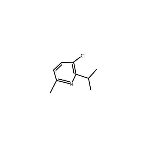 Cc1ccc(Cl)c(C(C)C)n1